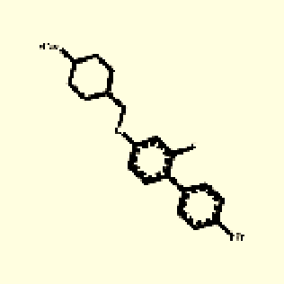 CCCCCCCCCCC1CCC(COc2ccc(-c3ccc(CCC)cc3)c(F)c2)CC1